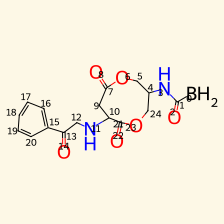 BC(=O)NC1COC(=O)CC(NCC(=O)c2ccccc2)C(=O)OC1